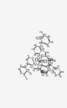 Cc1cccc(-c2cccc3c2C=C(C(C)(C)C)[CH]3[Hf]([Cl])([Cl])([c]2cccc3c2[SiH2]c2ccccc2-3)[CH]2C(C(C)(C)C)=Cc3c(-c4cccc(C)c4C)cccc32)c1C